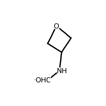 O=[C]NC1COC1